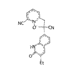 CCc1cc2ccc(C(C)(C#N)Cc3cccc(C#N)[n+]3[O-])cc2[nH]c1=O